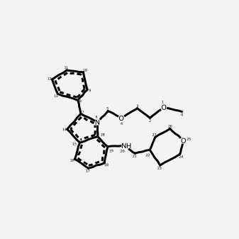 COCCOCn1c(-c2ccccc2)cc2cccc(NCC3CCOCC3)c21